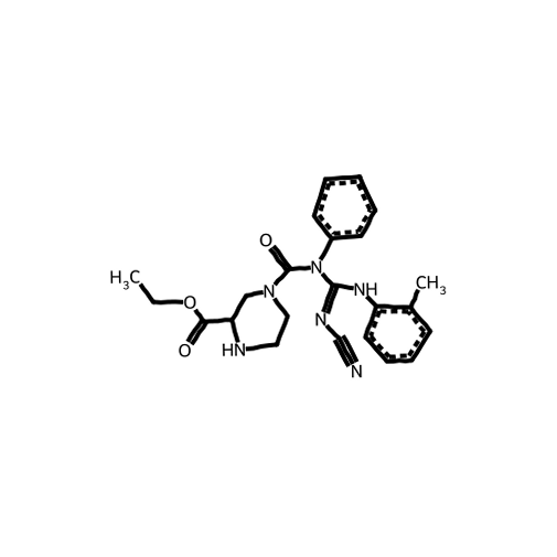 CCOC(=O)C1CN(C(=O)N(C(=NC#N)Nc2ccccc2C)c2ccccc2)CCN1